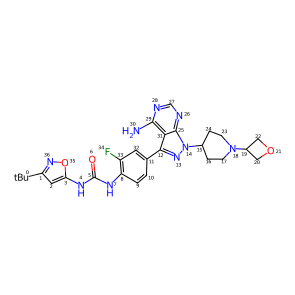 CC(C)(C)c1cc(NC(=O)Nc2ccc(-c3nn(C4CCN(C5COC5)CC4)c4ncnc(N)c34)cc2F)on1